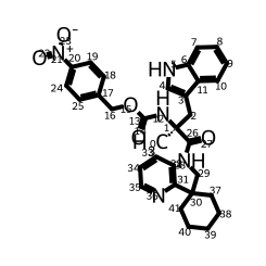 C[C@@](Cc1c[nH]c2ccccc12)(NC(=O)OCc1ccc([N+](=O)[O-])cc1)C(=O)NCC1(c2ccccn2)CCCCC1